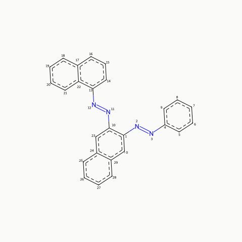 [c]1c(N=Nc2ccccc2)c(N=Nc2cccc3ccccc23)cc2ccccc12